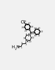 NCCCN1CCN([C@H](c2ccccc2)c2ccc(Cl)cc2)CC1